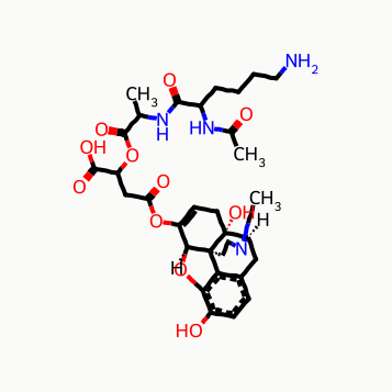 CC(=O)NC(CCCCN)C(=O)NC(C)C(=O)OC(CC(=O)OC1=CC[C@@]2(O)[C@H]3Cc4ccc(O)c5c4[C@@]2(CCN3C)[C@H]1O5)C(=O)O